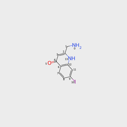 NCc1cc(=O)c2ccc(I)cc2[nH]1